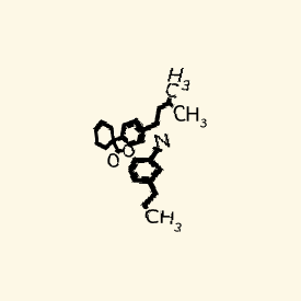 CCCc1ccc(OC(=O)C2(c3ccc(CCC(C)C)cc3)CCCCC2)c(C#N)c1